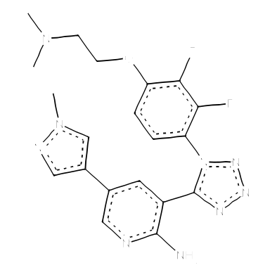 CN(C)CCOc1ccc(-n2nnnc2-c2cc(-c3cnn(C)c3)cnc2N)c(F)c1F